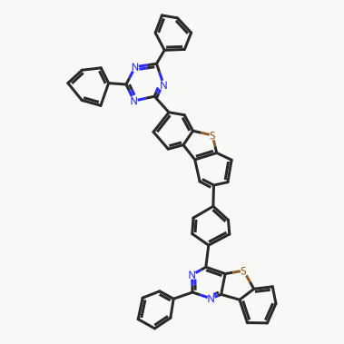 c1ccc(-c2nc(-c3ccccc3)nc(-c3ccc4c(c3)sc3ccc(-c5ccc(-c6nc(-c7ccccc7)nc7c6sc6ccccc67)cc5)cc34)n2)cc1